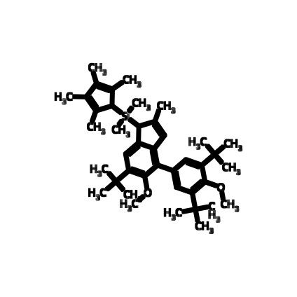 COc1c(C(C)(C)C)cc(-c2c3c(cc(C(C)(C)C)c2OC)C([Si](C)(C)C2C(C)=C(C)C(C)=C2C)C(C)=C3)cc1C(C)(C)C